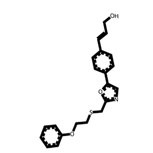 OCC=Cc1ccc(-c2cnc(CSCCOc3ccccc3)o2)cc1